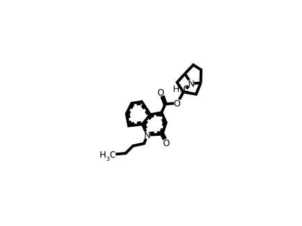 CCCCn1c(=O)cc(C(=O)OC2CC3CCC(C2)N3C)c2ccccc21